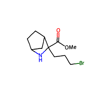 COC(=O)C1(CCCBr)NC2CCC1C2